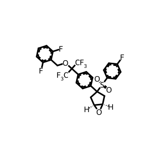 O=S(=O)(c1ccc(F)cc1)C1(c2ccc(C(OCc3c(F)cccc3F)(C(F)(F)F)C(F)(F)F)cc2)C[C@@H]2O[C@@H]2C1